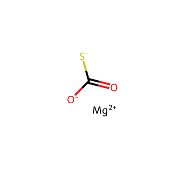 O=C([O-])[S-].[Mg+2]